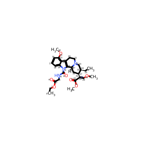 CCOC(=O)CNC(=O)n1c2c(c3c(OC)cccc31)CCN1C[C@@H](CC)[C@@H](/C(=C\OC)C(=O)OC)C[C@@H]21